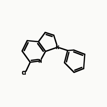 Clc1ccc2ccn(-c3ccccc3)c2n1